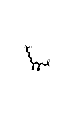 C#CC(CCCCCC(=O)Cl)CC(C#C)CCC(=O)Cl